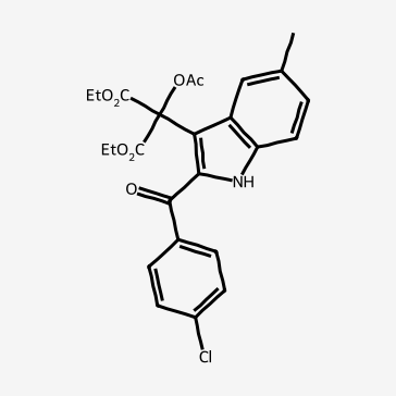 CCOC(=O)C(OC(C)=O)(C(=O)OCC)c1c(C(=O)c2ccc(Cl)cc2)[nH]c2ccc(C)cc12